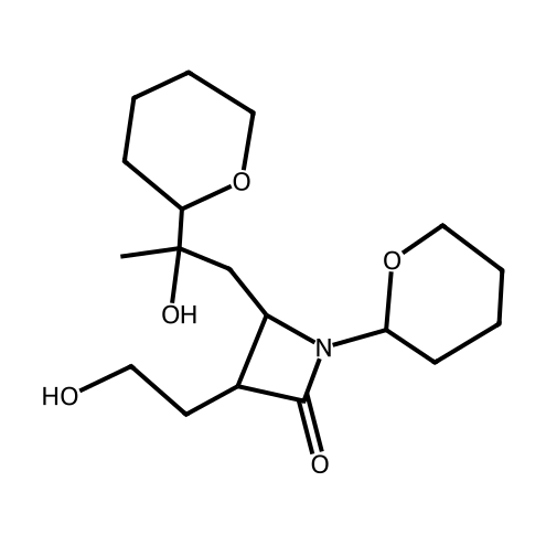 CC(O)(CC1C(CCO)C(=O)N1C1CCCCO1)C1CCCCO1